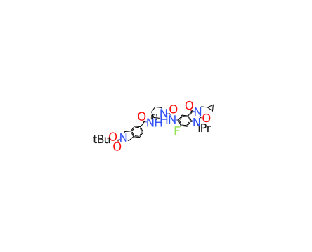 CC(C)n1c(=O)n(CC2CC2)c(=O)c2cc(NC(=O)N3CCC[C@@H](NC(=O)c4ccc5c(c4)CN(C(=O)OC(C)(C)C)C5)C3)c(F)cc21